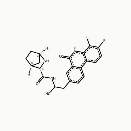 N#CC(Cc1ccc2c(c1)c(=O)[nH]c1c(F)c(F)ccc12)NC(=O)[C@H]1N[C@@H]2CC[C@H]1C2